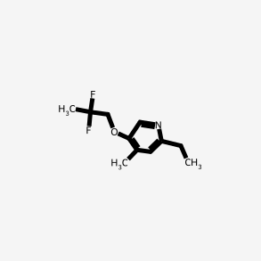 CCc1cc(C)c(OCC(C)(F)F)cn1